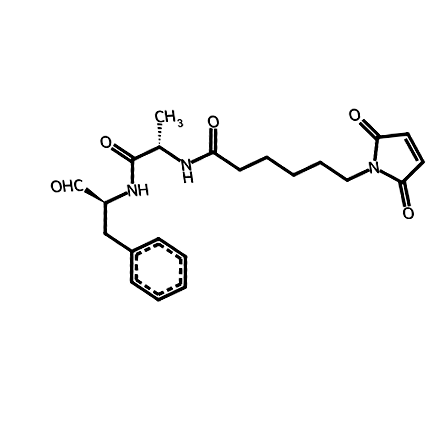 C[C@H](NC(=O)CCCCCN1C(=O)C=CC1=O)C(=O)N[C@H](C=O)Cc1ccccc1